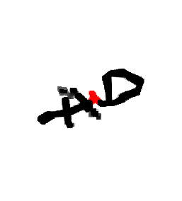 BC(B)(OCc1ccccc1)C(C)(C)C#C